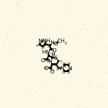 CO/N=C(\C(=O)NC1C(=O)N2C(C(=O)[O-])=C(C[n+]3ccncc3)CS[C@H]12)c1ccn[nH]1